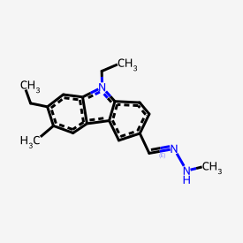 CCc1cc2c(cc1C)c1cc(/C=N/NC)ccc1n2CC